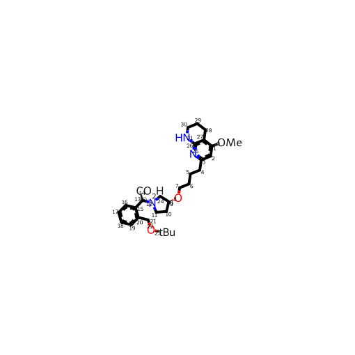 COc1cc(CCCCO[C@@H]2CCN([C@H](C(=O)O)c3ccccc3COC(C)(C)C)C2)nc2c1CCCN2